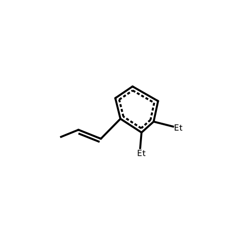 CC=Cc1cccc(CC)c1CC